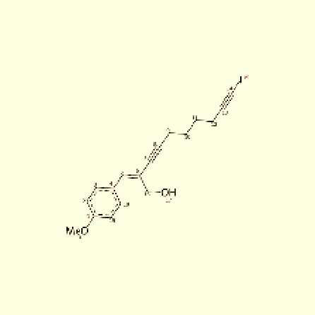 COc1ccc(/C=C(/C#CCCCCC#CI)CO)cc1